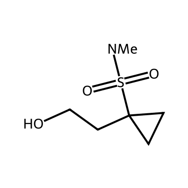 CNS(=O)(=O)C1(CCO)CC1